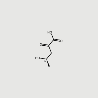 C[C@@H](O)CC(=O)C(=O)O